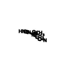 CN(C)C(=O)N(CCCc1ccc(C#N)cc1)CCN1CC2CNCC(C1)O2